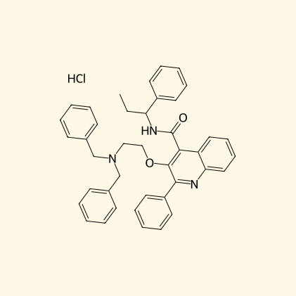 CCC(NC(=O)c1c(OCCN(Cc2ccccc2)Cc2ccccc2)c(-c2ccccc2)nc2ccccc12)c1ccccc1.Cl